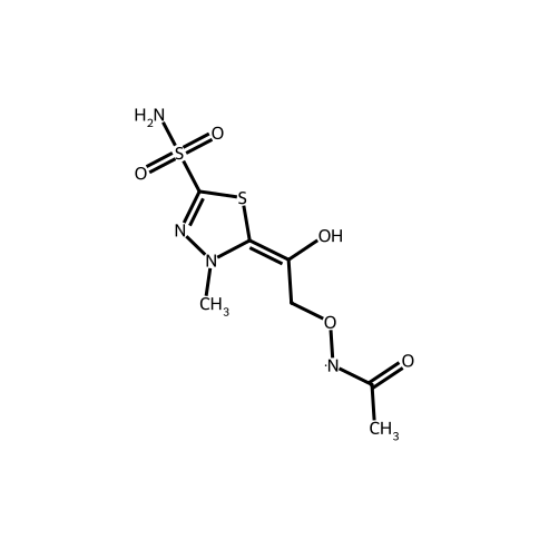 CC(=O)[N]OCC(O)=C1SC(S(N)(=O)=O)=NN1C